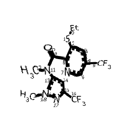 CCSc1cc(C(F)(F)F)cnc1C(=O)N(C)c1cc(C(F)(F)F)nn1C